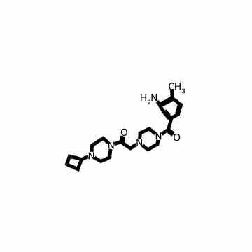 Cc1ccc(C(=O)N2CCN(CC(=O)N3CCN(C4CCC4)CC3)CC2)cc1N